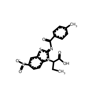 CCC(C(=O)O)n1c(=NC(=O)c2ccc(C)cc2)sc2cc([N+](=O)[O-])ccc21